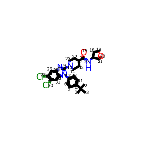 CC(C)(C)c1ccc(-n2c(N3CCC(C(=O)NC4CCOC4)CC3)nc3cc(Cl)c(Cl)cc32)cc1